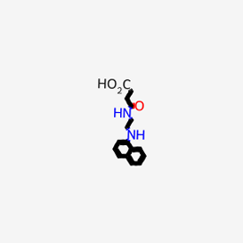 O=C(O)CCC(=O)NCCNc1cccc2ccccc12